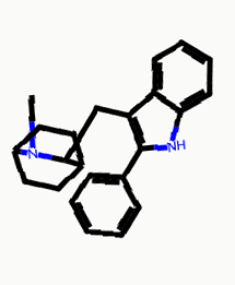 CN1C2CCC(CC2)C1Cc1c(-c2ccccc2)[nH]c2ccccc12